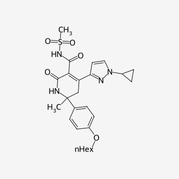 CCCCCCOc1ccc(C2(C)CC(c3ccn(C4CC4)n3)=C(C(=O)NS(C)(=O)=O)C(=O)N2)cc1